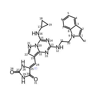 Cc1cc2ccccc2n1CCNc1nc(NC2CC2)n2ncc(/C=C3\NC(=O)NC3=O)c2n1